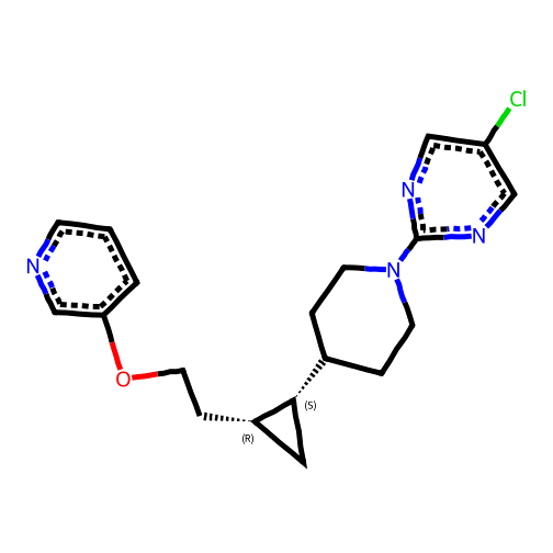 Clc1cnc(N2CCC([C@@H]3C[C@@H]3CCOc3cccnc3)CC2)nc1